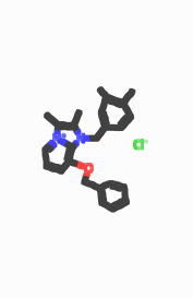 Cc1ccc(Cn2c(C)c(C)[n+]3cccc(OCc4ccccc4)c23)cc1C.[Cl-]